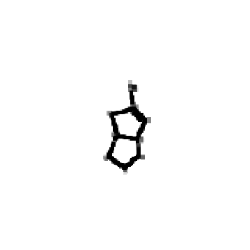 C[CH]C1=CC2CCCC2C1